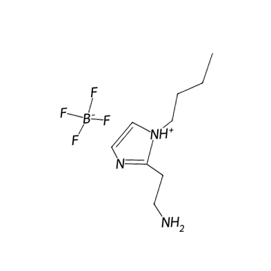 CCCC[NH+]1C=CN=C1CCN.F[B-](F)(F)F